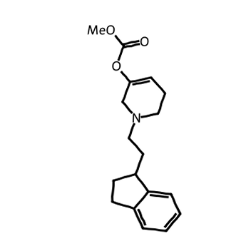 COC(=O)OC1=CCCN(CCC2CCc3ccccc32)C1